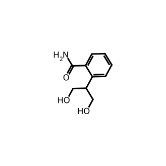 NC(=O)c1ccccc1C(CO)CO